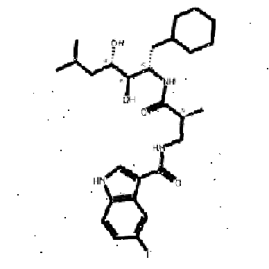 CC(C)C[C@H](O)[C@H](O)[C@H](CC1CCCCC1)NC(=O)[C@@H](C)CNC(=O)c1c[nH]c2ccc(F)cc12